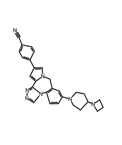 N#Cc1ccc(-c2cc3n(c2)Cc2cc(N4CCC(N5CCC5)CC4)ccc2-n2cnnc2-3)cc1